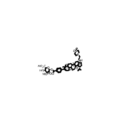 C=C(C)[C@@H]1CC[C@]2(NCCN3CCS(=O)(=O)CC3)CC[C@]3(C)[C@H](CC[C@@H]4[C@@]5(C)CC=C(c6ccc(C(=O)O[C@H]7O[C@H](C(=O)O)[C@@H](O)[C@H](O)C7O)cc6)C(C)(C)[C@@H]5CC[C@]43C)[C@@H]12